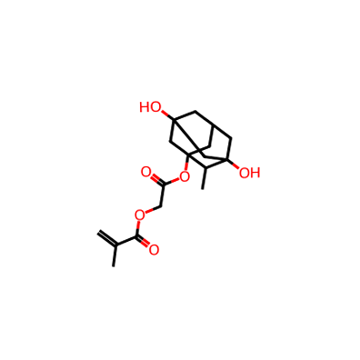 C=C(C)C(=O)OCC(=O)OC12CC3CC(O)(CC(O)(C3)C1C)C2